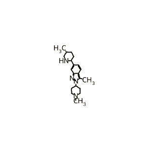 Cc1c2ccc(C3CC[C@H](C)CN3)cc2nn1C1CCN(C)CC1